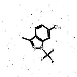 Cc1nn(C(F)(F)F)c2cc(O)ccc12